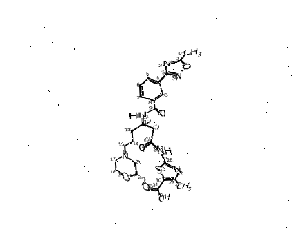 Cc1nc(-c2cccc(C(=O)NC(CCCN3CCOCC3)CC(=O)Nc3nc(C)c(C(=O)O)s3)c2)no1